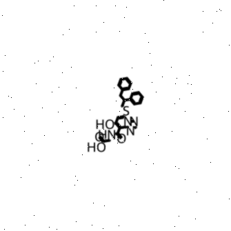 O=C(O)CNC(=O)c1c(O)cc(SCC(Cc2ccccc2)c2ccccc2)n2ncnc12